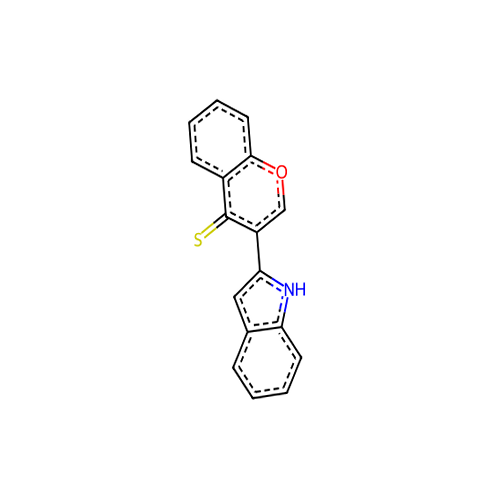 S=c1c(-c2cc3ccccc3[nH]2)coc2ccccc12